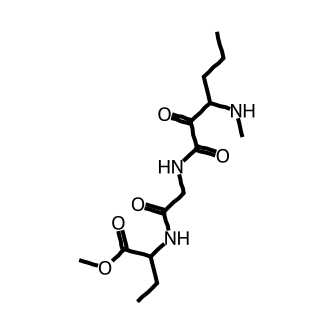 CCCC(NC)C(=O)C(=O)NCC(=O)NC(CC)C(=O)OC